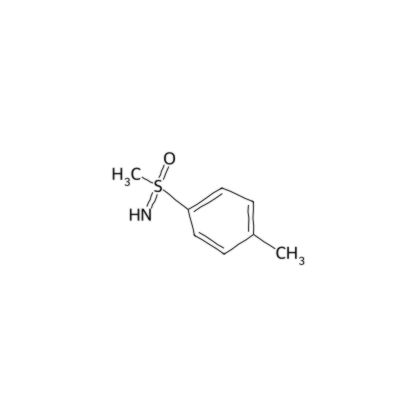 Cc1ccc(S(C)(=N)=O)cc1